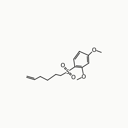 C=CCCCCS(=O)(=O)c1ccc(OC)cc1OC